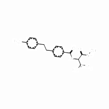 Cc1ccc(CCc2ccc(C(=O)NC(C(=O)NO)[C@@H](C)O)cc2)cc1